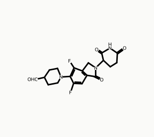 O=CC1CCN(c2c(F)cc3c(c2F)CN(C2CCC(=O)NC2=O)C3=O)CC1